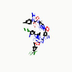 Cc1ccc(NC(=O)C(=O)NCC(C)(C)CNC(=O)c2ccc(Nc3nc(NC4(c5ccc(Cl)cc5)CC4)nc(OCc4ccc(C(F)(F)F)cc4)n3)cc2)cc1